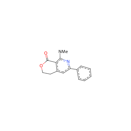 CNc1nc(-c2ccccc2)cc2c1C(=O)OCC2